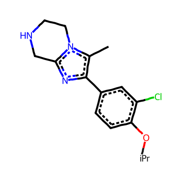 Cc1c(-c2ccc(OC(C)C)c(Cl)c2)nc2n1CCNC2